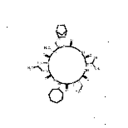 CCC[C@H]1C(=O)N[C@@H](C2CCCCCC2)C(=O)N[C@@H](CN)C(=O)N[C@@H]([C@H](C)O)C(=O)NCC(=O)O[C@H](C[C@H]2CC3CCC2C3)[C@@H](C)C(=O)N1C